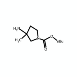 CCCCOC(=O)N1CCC(C)(N)C1